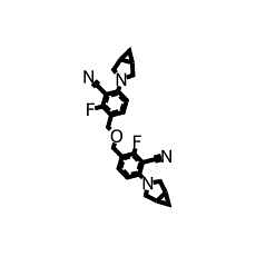 N#Cc1c(N2CC3CC3C2)ccc(COCc2ccc(N3CC4CC4C3)c(C#N)c2F)c1F